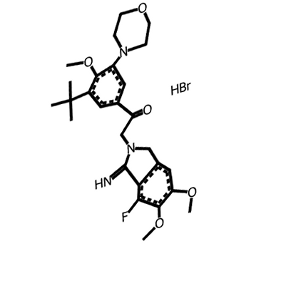 Br.COc1cc2c(c(F)c1OC)C(=N)N(CC(=O)c1cc(N3CCOCC3)c(OC)c(C(C)(C)C)c1)C2